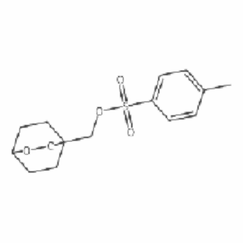 Cc1ccc(S(=O)(=O)OCC23CCC(CC2)OC3)cc1